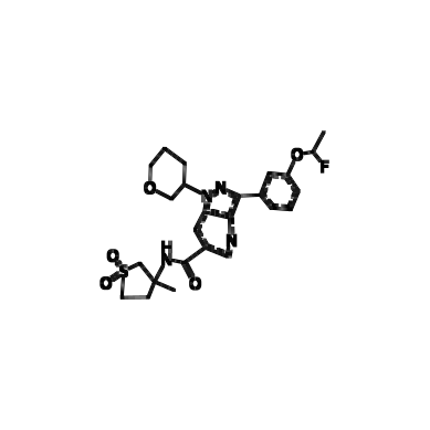 CC(F)Oc1cccc(-c2nn(C3CCCOC3)c3cc(C(=O)NC4(C)CCS(=O)(=O)C4)cnc23)c1